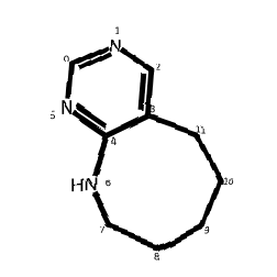 c1ncc2c(n1)NCCCCC2